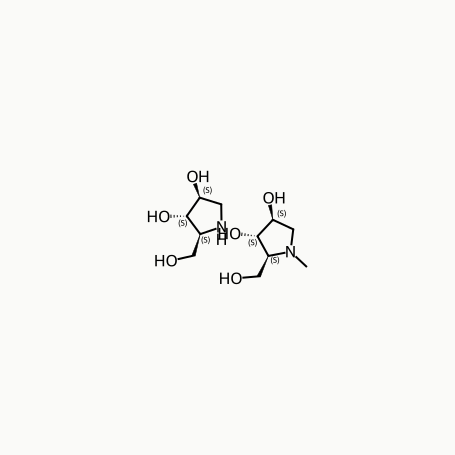 CN1C[C@H](O)[C@@H](O)[C@@H]1CO.OC[C@@H]1NC[C@H](O)[C@H]1O